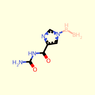 BBn1cnc(C(=O)NC(N)=O)c1